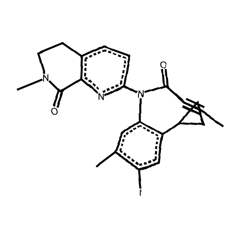 CC#CC(=O)N(c1ccc2c(n1)C(=O)N(C)CC2)c1cc(C)c(I)cc1C1CC1